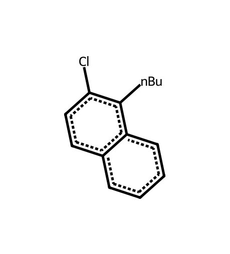 [CH2]CCCc1c(Cl)ccc2ccccc12